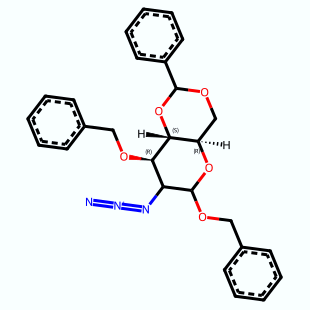 [N-]=[N+]=NC1C(OCc2ccccc2)O[C@@H]2COC(c3ccccc3)O[C@H]2[C@@H]1OCc1ccccc1